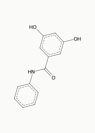 O=C(Nc1ccccc1)c1cc(O)cc(O)c1